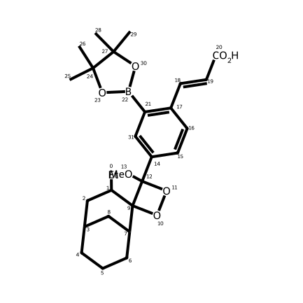 CCC1CC2CCCC(C2)C12OOC2(OC)c1ccc(/C=C/C(=O)O)c(B2OC(C)(C)C(C)(C)O2)c1